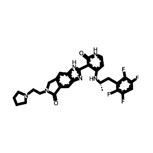 C[C@@H](Cc1c(F)c(F)cc(F)c1F)Nc1cc[nH]c(=O)c1-c1nc2cc3c(cc2[nH]1)CN(CCN1CCCC1)C3=O